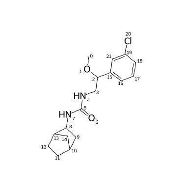 COC(CNC(=O)NC1CC2CCC1C2)c1cccc(Cl)c1